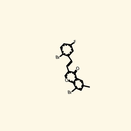 Cc1cc(Br)c2occ(C=Cc3cc(F)ccc3Br)c(=O)c2c1